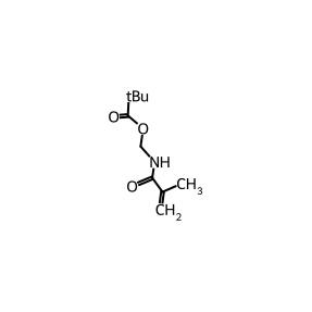 C=C(C)C(=O)NCOC(=O)C(C)(C)C